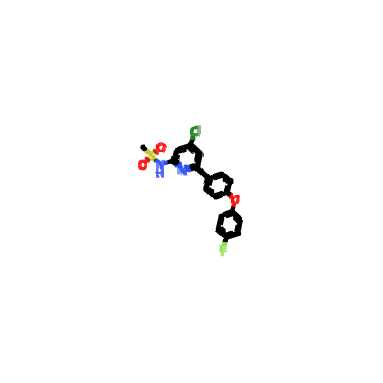 CS(=O)(=O)Nc1cc(Cl)cc(-c2ccc(Oc3ccc(F)cc3)cc2)n1